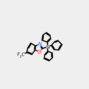 FC(F)(F)c1ccc2nc([Si](c3ccccc3)(c3ccccc3)c3ccccc3)oc2c1